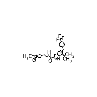 CC[S+]([O-])N1CC(CCNC(=O)c2cnc3c(c2)CN(Cc2ccc(C(F)(F)F)cc2)[C@H]3C(C)C)C1